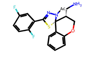 CC(=O)N1N=C(c2cc(F)ccc2F)S[C@]12c1ccccc1OC[C@H]2CN